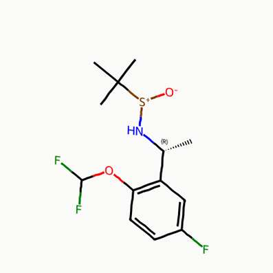 C[C@@H](N[S+]([O-])C(C)(C)C)c1cc(F)ccc1OC(F)F